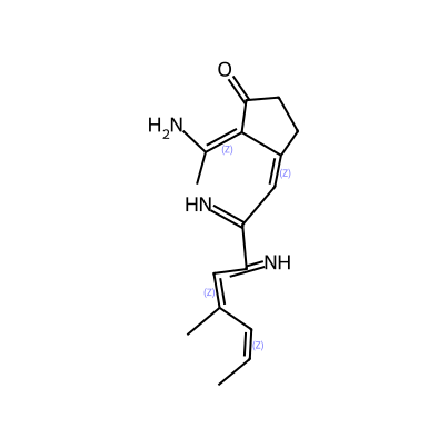 C/C=C\C(C)=C/C(=N)C(=N)/C=C1/CCC(=O)/C1=C(/C)N